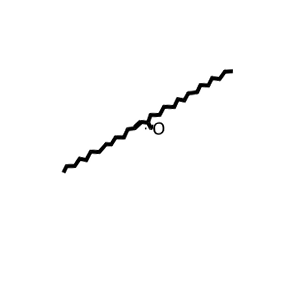 CCCCCCCCCCCCC=CC([C]=O)CCCCCCCCCCCCCC